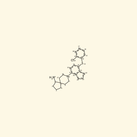 NC1CCCC12CCN(c1ncc(Sc3ccnnc3Cl)c3nccn13)CC2